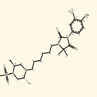 C[C@@H]1CN(S(C)(=O)=O)[C@@H](C)CN1CCCCCCN1C(=S)N(c2ccc(C#N)c(C(F)(F)F)c2)C(=O)C1(C)C